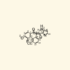 COc1ccc(C(N)=O)c(-c2c(Cl)ccc3c2C[C@@](CN)(c2cscn2)O3)c1F